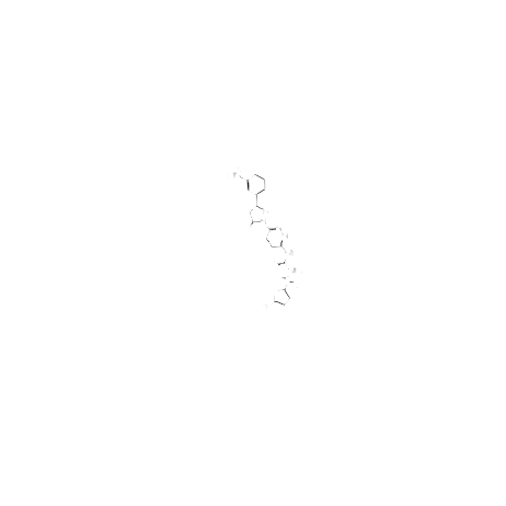 CNc1cccc(C2=NN(c3ccc(NC(=O)NS(=O)(=O)c4ccc(Cl)s4)nn3)C(=O)C2)c1